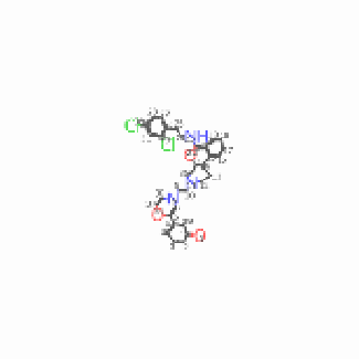 O=C1C=CC=C(C2=CN(CCN3CCC(c4ccccc4C(=O)NCCc4ccc(Cl)cc4Cl)CC3)C=CO2)C1